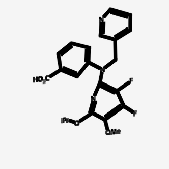 COc1c(OC(C)C)nc(N(Cc2cccnc2)c2cccc(C(=O)O)c2)c(F)c1F